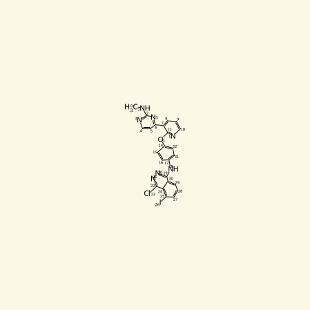 CNc1nccc(-c2cccnc2Oc2ccc(Nc3nnc(Cl)c4c(I)cccc34)cc2)n1